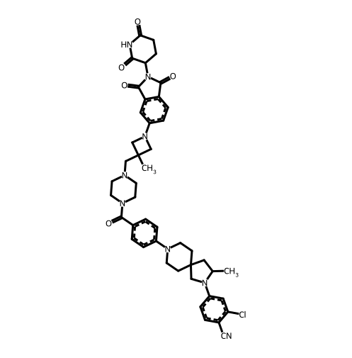 CC1CC2(CCN(c3ccc(C(=O)N4CCN(CC5(C)CN(c6ccc7c(c6)C(=O)N(C6CCC(=O)NC6=O)C7=O)C5)CC4)cc3)CC2)CN1c1ccc(C#N)c(Cl)c1